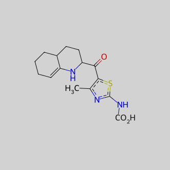 Cc1nc(NC(=O)O)sc1C(=O)C1CCC2CCCC=C2N1